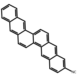 [C-]#[N+]c1ccc2cc3c(ccc4c5cc6ccccc6cc5ccc34)cc2c1